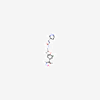 Cc1noc(C)c1-c1cc(Cl)c2c(c1)CC(CNC(=O)/C=C/c1cccnc1)O2